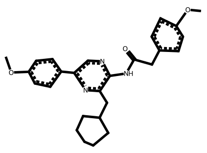 COc1ccc(CC(=O)Nc2ncc(-c3ccc(OC)cc3)nc2CC2CCCCC2)cc1